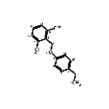 CCc1ccc(OCc2c(F)cccc2Cl)cc1